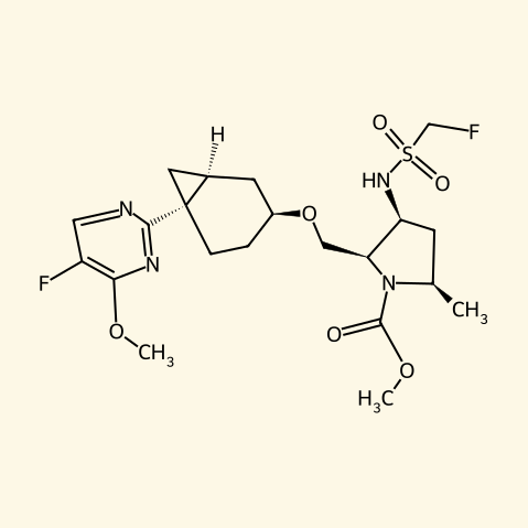 COC(=O)N1[C@H](C)C[C@H](NS(=O)(=O)CF)[C@@H]1CO[C@H]1CC[C@@]2(c3ncc(F)c(OC)n3)C[C@H]2C1